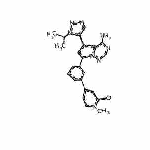 CC(C)n1nncc1-c1cc(-c2cccc(-c3ccn(C)c(=O)c3)c2)n2ncnc(N)c12